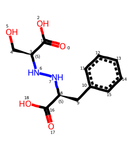 O=C(O)[C@H](CO)NN[C@@H](Cc1ccccc1)C(=O)O